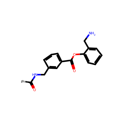 CC(C)C(=O)NCc1cccc(C(=O)Oc2ccccc2CN)c1